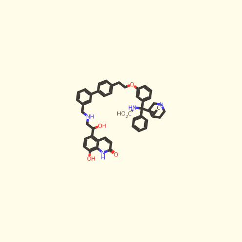 O=C(O)NC(c1ccccc1)(c1cccc(OCCc2ccc(-c3cccc(CNCC(O)c4ccc(O)c5[nH]c(=O)ccc45)c3)cc2)c1)C1CN2CCC1CC2